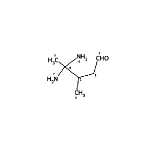 CC(CC=O)C(C)(N)N